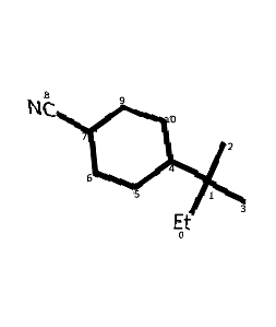 CCC(C)(C)C1CC[C](C#N)CC1